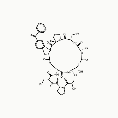 CC(C)C[C@@H]1NC(=O)[C@H](C(C)C)OC(=O)C[C@H](O)[C@H](C(C)C)NC(=O)[C@H](NC(=O)[C@@H](CC(C)C)N(C)C(=O)[C@@H]2CCCN2C(=O)[C@@H](C)O)[C@H](C)OC(=O)[C@H](Cc2ccc(C(=O)c3ccccc3)cc2)N(C)C(=O)[C@@H]2CCCN2C1=O